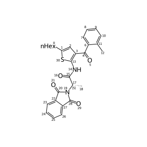 CCCCCCc1cc(C(=O)c2ccccc2C)c(NC(=O)[C@H](C)N2C(=O)c3ccccc3C2=O)s1